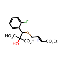 CCOC(=O)/C=C/CSC(c1ccccc1F)C(O)(C(=O)O)C(=O)O